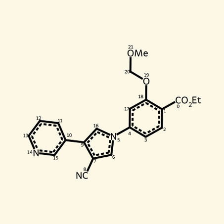 CCOC(=O)c1ccc(-n2cc(C#N)c(-c3cccnc3)c2)cc1OCOC